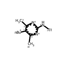 CCCCc1c(C)nc(NCC)nc1C